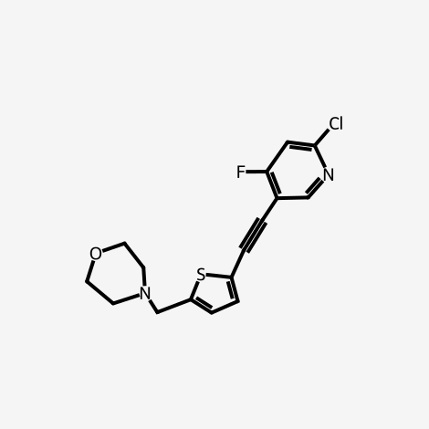 Fc1cc(Cl)ncc1C#Cc1ccc(CN2CCOCC2)s1